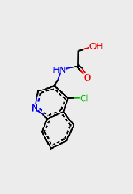 O=C(CO)Nc1cnc2ccccc2c1Cl